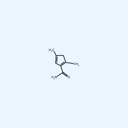 CC1=CC(C(N)=O)=C(C)C1